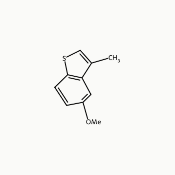 COc1ccc2scc(C)c2c1